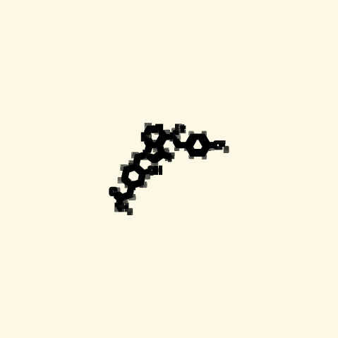 CCN(Cc1ccc(C(F)(F)F)cc1)c1ncnc2c1c(F)cn2CC1CCN(CC(N)=O)C[C@@H]1O